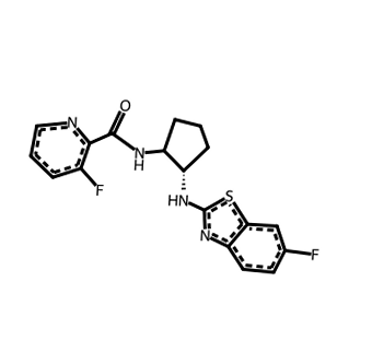 O=C(NC1CCC[C@@H]1Nc1nc2ccc(F)cc2s1)c1ncccc1F